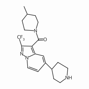 CC1CCN(C(=O)c2c(C(F)(F)F)nn3ccc(C4CCNCC4)cc23)CC1